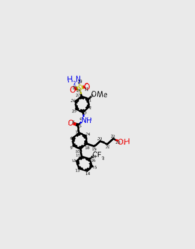 COc1cc(NC(=O)c2ccc(-c3ccccc3C(F)(F)F)c(CCCCO)c2)ccc1S(N)(=O)=O